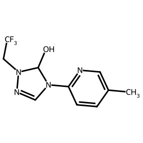 Cc1ccc(N2C=NN(CC(F)(F)F)C2O)nc1